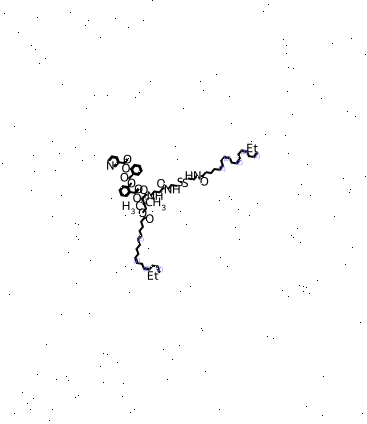 CC/C=C\C/C=C\C/C=C\C/C=C\C/C=C\CCCC(=O)NCCSSCCNC(=O)CCNC(=O)[C@H](OC(=O)c1ccccc1OC(=O)c1ccccc1OC(=O)c1cccnc1)C(C)(C)COC(=O)CCC/C=C/CCC/C=C\C/C=C\C/C=C\CC